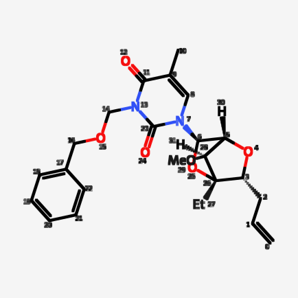 C=CC[C@H]1O[C@H]2[C@H](n3cc(C)c(=O)n(COCc4ccccc4)c3=O)O[C@]1(CC)[C@H]2OC